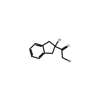 CCC1(C(=O)CBr)Cc2ccccc2C1